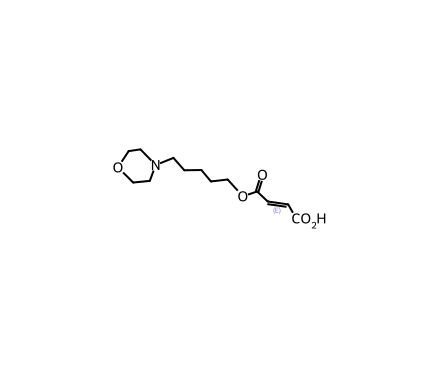 O=C(O)/C=C/C(=O)OCCCCCN1CCOCC1